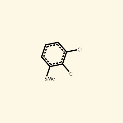 CSc1cccc(Cl)c1Cl